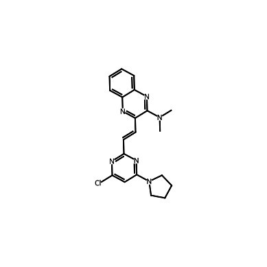 CN(C)c1nc2ccccc2nc1C=Cc1nc(Cl)cc(N2CCCC2)n1